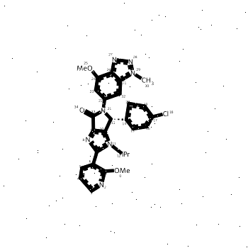 COc1ncccc1-c1nc2c(n1C(C)C)[C@@H](c1ccc(Cl)cc1)N(c1cc(OC)c3nnn(C)c3c1)C2=O